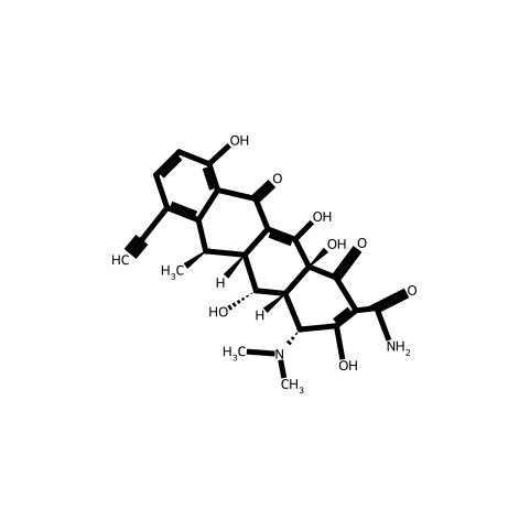 C#Cc1ccc(O)c2c1[C@H](C)[C@@H]1C(=C(O)[C@]3(O)C(=O)C(C(N)=O)=C(O)[C@H](N(C)C)[C@@H]3[C@@H]1O)C2=O